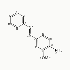 COc1cc(/N=N/c2ccccc2)ccc1N